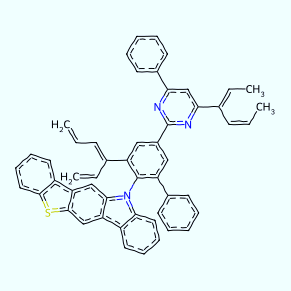 C=C/C=C(\C=C)c1cc(-c2nc(C(/C=C\C)=C/C)cc(-c3ccccc3)n2)cc(-c2ccccc2)c1-n1c2ccccc2c2cc3sc4ccccc4c3cc21